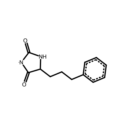 O=C1[N]C(=O)C(CCCc2ccccc2)N1